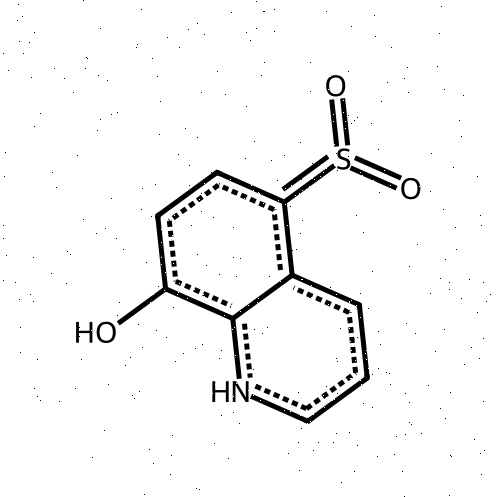 O=S(=O)=c1ccc(O)c2[nH]cccc1-2